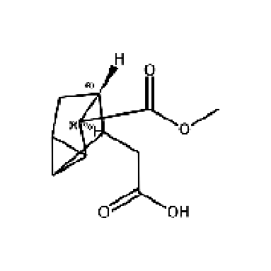 COC(=O)[C@H]1C2C3C[C@@H]1C(CC(=O)O)C32